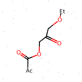 CCOCC(=O)COC(=O)C(C)=O